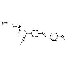 CC#C[C@@H](CC(=O)NCCC#N)c1ccc(OCc2ccc(OC)cc2)cc1